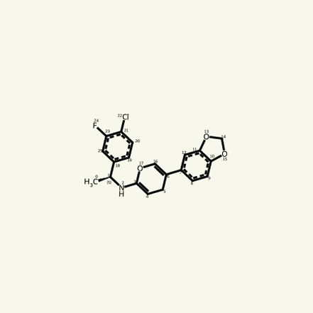 C[C@H](NC1=CCC(c2ccc3c(c2)OCO3)=CO1)c1ccc(Cl)c(F)c1